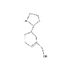 OCC1=CCCC(C2NCCS2)C1